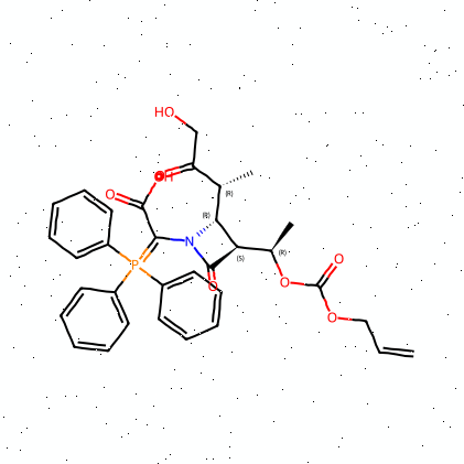 C=CCOC(=O)O[C@H](C)[C@H]1C(=O)N(C(C(=O)O)=P(c2ccccc2)(c2ccccc2)c2ccccc2)[C@@H]1[C@@H](C)C(=O)CO